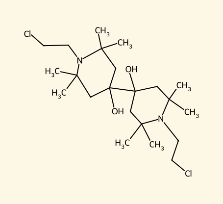 CC1(C)CC(O)(C2(O)CC(C)(C)N(CCCl)C(C)(C)C2)CC(C)(C)N1CCCl